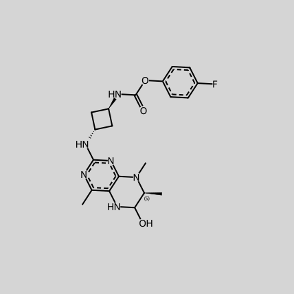 Cc1nc(N[C@H]2C[C@H](NC(=O)Oc3ccc(F)cc3)C2)nc2c1NC(O)[C@H](C)N2C